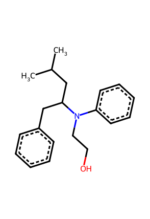 CC(C)CC(Cc1ccccc1)N(CCO)c1ccccc1